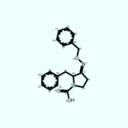 O=C(O)N1CCC(=NOCc2ccccc2)C1Cc1ccccc1